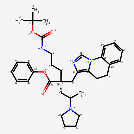 CC(C[C@](CCCNC(=O)OC(C)(C)C)(Cc1ncn2c1CCc1ccccc1-2)C(=O)Oc1ccccc1)N1CCCC1